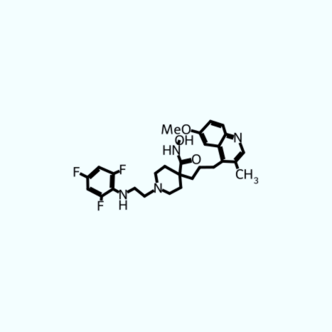 COc1ccc2ncc(C)c(CCCC3(C(=O)NO)CCN(CCNc4c(F)cc(F)cc4F)CC3)c2c1